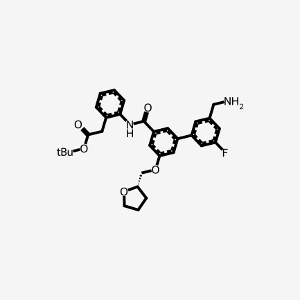 CC(C)(C)OC(=O)Cc1ccccc1NC(=O)c1cc(OC[C@@H]2CCCO2)cc(-c2cc(F)cc(CN)c2)c1